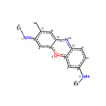 CCN=c1cc2oc3cc(NCC)ccc3nc-2cc1C